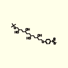 CC(C)(C)OCC(O)CCC(O)CCC(O)CCC(O)CCOc1ccc([N+](=O)[O-])cc1